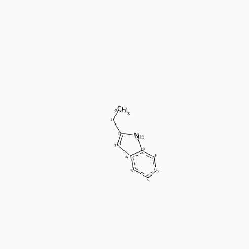 CCC1=Cc2ccccc2[N]1